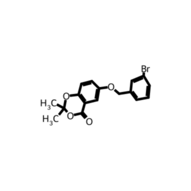 CC1(C)OC(=O)c2cc(OCc3cccc(Br)c3)ccc2O1